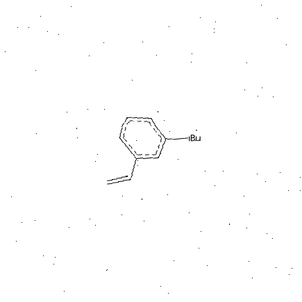 C=Cc1cccc(C(C)CC)c1